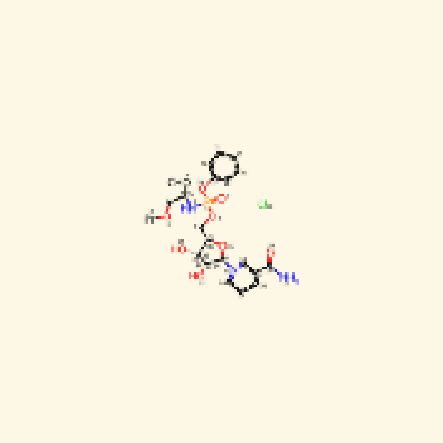 CC(C)OC[C@@H](C=O)NP(=O)(OC[C@H]1O[C@@H]([n+]2cccc(C(N)=O)c2)[C@H](O)[C@@H]1O)Oc1ccccc1.[Cl-]